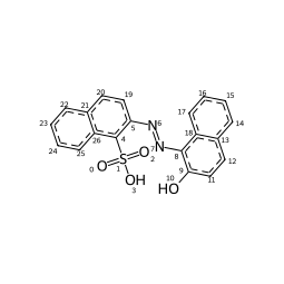 O=S(=O)(O)c1c(N=Nc2c(O)ccc3ccccc23)ccc2ccccc12